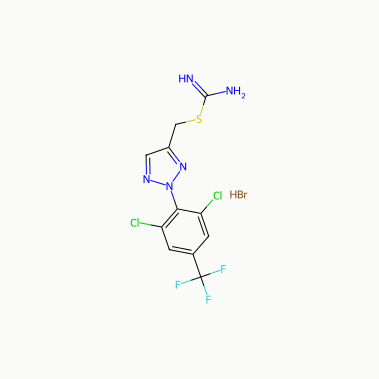 Br.N=C(N)SCc1cnn(-c2c(Cl)cc(C(F)(F)F)cc2Cl)n1